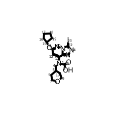 O=C(O)N(CC1CCOCC1)c1cc(OC2CCCC2)nn2c(I)nnc12